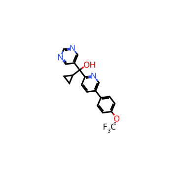 OC(c1cncnc1)(c1ccc(-c2ccc(OC(F)(F)F)cc2)cn1)C1CC1